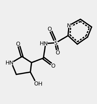 O=C1NCC(O)C1C(=O)NS(=O)(=O)c1ccccn1